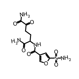 NC(=O)C(=O)CCC(NC(=O)c1coc(S(N)(=O)=O)c1)C(N)=O